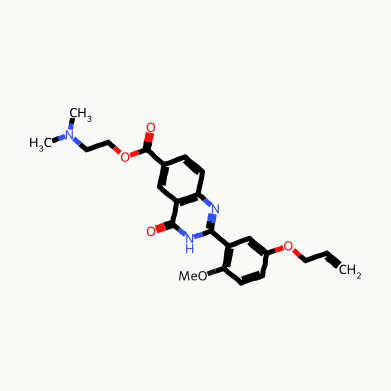 C=CCOc1ccc(OC)c(-c2nc3ccc(C(=O)OCCN(C)C)cc3c(=O)[nH]2)c1